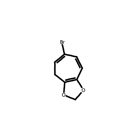 BrC1=CCC2=C(C=C1)OCO2